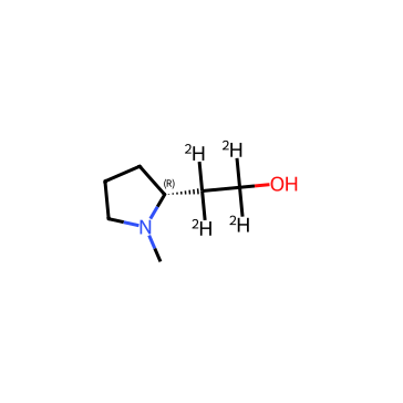 [2H]C([2H])(O)C([2H])([2H])[C@H]1CCCN1C